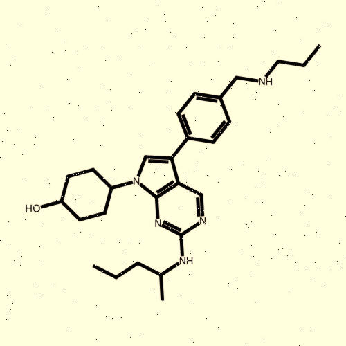 CCCNCc1ccc(-c2cn(C3CCC(O)CC3)c3nc(NC(C)CCC)ncc23)cc1